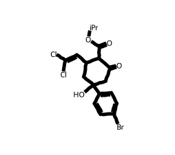 CC(C)OC(=O)C1C(=O)CC(O)(c2ccc(Br)cc2)CC1C=C(Cl)Cl